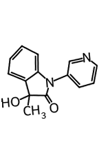 CC1(O)C(=O)N(c2cccnc2)c2ccccc21